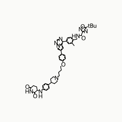 Cc1cc(-c2ncnn3cc(-c4ccc(OCCCCN5CCC(c6ccc(NC7CCC(=O)NC7=O)cc6)CC5)cc4)cc23)ccc1CNC(=O)c1noc(C(C)(C)C)n1